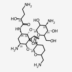 C=CC1(O)C(O[C@H]2OC(CN)CCC2N)[C@@H](N)C[C@@H](NC(=O)[C@@H](O)CCN)[C@@H]1O[C@H]1OC(CO)[C@@H](O)[C@H](N)C1O